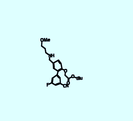 COCCCNCc1ccc(OCC(=O)OC(C)(C)C)c(-c2cc(F)cc(C#N)c2)c1